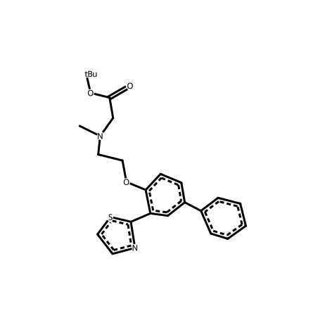 CN(CCOc1ccc(-c2ccccc2)cc1-c1nccs1)CC(=O)OC(C)(C)C